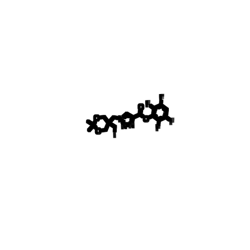 CC1(C)OCC(CI)(Cn2cc(C(=O)Oc3c(F)c(F)cc(F)c3F)nn2)CO1